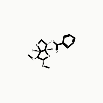 CO[C@@H]1O[C@@H]2[C@@H](OC[C@@H]2OC(=O)c2ccccc2)[C@@H]1OC